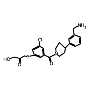 NCc1cccc(C2CCN(C(=O)c3cc(Cl)cc(SCC(=O)CO)c3)CC2)c1